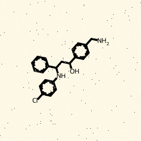 NCc1ccc(C(O)CC(Nc2ccc(Cl)cc2)c2ccccc2)cc1